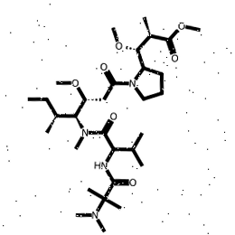 CC[C@H](C)[C@@H]([C@@H](CC(=O)N1CCCC1[C@H](OC)[C@@H](C)C(=O)OC)OC)N(C)C(=O)C(NC(=O)C(C)(C)N(C)C)C(C)C